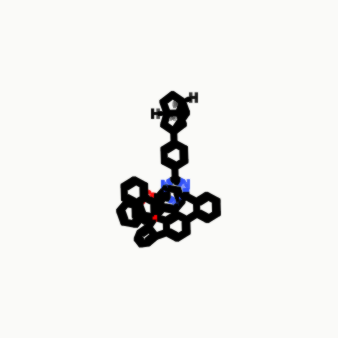 c1ccc2c(c1)Oc1ccccc1C21c2ccccc2-c2ccc(-c3ccccc3-c3nc(-c4ccc(C56CC7[C@H](CC[C@H]7C5)C6)cc4)nc(-c4cccc5ccccc45)n3)cc21